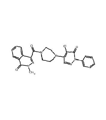 Cn1nc(C(=O)N2CCN(c3cnn(-c4ccccc4)c(=O)c3Cl)CC2)c2ccccc2c1=O